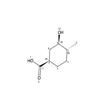 C[C@@H]1CC[C@@H](C(=O)O)C[C@H]1O